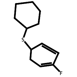 FC1=CCC(SC2CCCCC2)C=C1